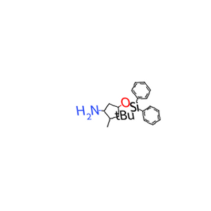 CC1CC(O[Si](c2ccccc2)(c2ccccc2)C(C)(C)C)CC1N